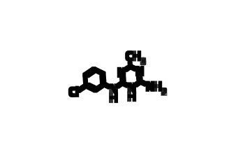 CC1N=C(N)NC(Nc2cccc(Cl)c2)=N1